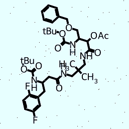 CC(=O)OC(C(=O)NCC(C)(C)CNC(=O)CC(Cc1cc(F)ccc1F)NC(=O)OC(C)(C)C)C(COCc1ccccc1)NC(=O)OC(C)(C)C